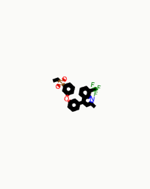 CCS(=O)(=O)c1cccc(Oc2cccc(-c3cc(C)nc4c(C(F)(F)F)cccc34)c2)c1